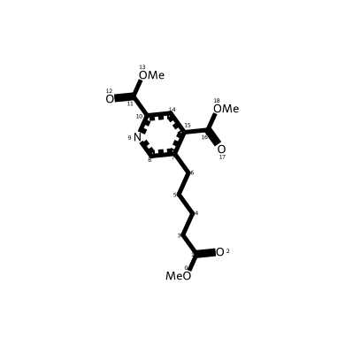 COC(=O)CCCCc1cnc(C(=O)OC)cc1C(=O)OC